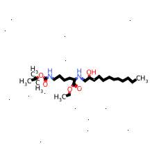 CCCCCCCCCCC(O)CNC(CCCCNC(=O)OC(C)(C)C)C(=O)OCC